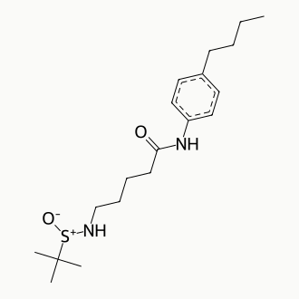 CCCCc1ccc(NC(=O)CCCCN[S+]([O-])C(C)(C)C)cc1